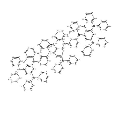 Fc1cccc(F)c1N(c1cc(N(c2ccccc2)c2ccccc2)cc(N(c2ccccc2)c2ccccc2)c1)c1cccc(N(c2cc(N(c3ccccc3)c3ccccc3)cc(N(c3cccc(N(c4cc(N(c5ccccc5)c5ccccc5)cc(N(c5ccccc5)c5ccccc5)c4)c4c(F)cccc4F)c3)c3c(F)cccc3F)c2)c2c(F)cccc2F)c1